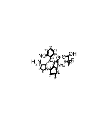 Cc1cc(N2CC[C@@H](N)C2)c2c(n1)n(C)c(=O)n2Cc1ccccc1C#N.O=C(O)C(F)(F)F